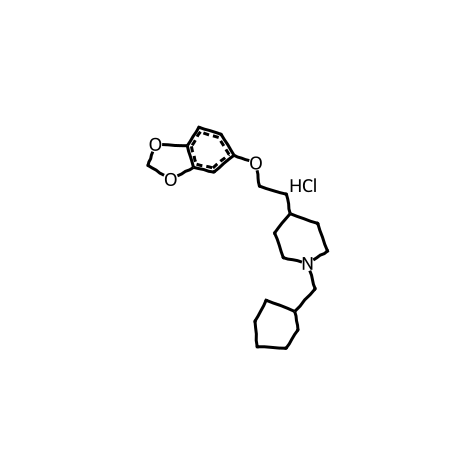 Cl.c1cc2c(cc1OCCC1CCN(CC3CCCCC3)CC1)OCO2